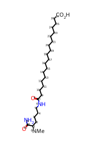 CNC(CCCCNC(=O)CCCCCCCCCCCCCCCCCCC(=O)O)C(N)=O